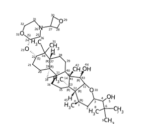 C[C@@H]1CC(C(O)C(C)(C)C)OC2[C@H]1[C@@]1(C)CC[C@@]34C[C@@]35CC[C@H](O[C@H]3CN(C6COC6)CCO3)C(C)(C)[C@@H]5CCC4[C@]1(C)[C@H]2O